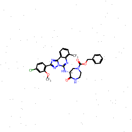 O=C1NCCN(C(=O)OCc2ccccc2)C[C@H]1Nc1nc2c(C(F)(F)F)cccc2c2nc(-c3ccc(Cl)cc3OC(F)(F)F)nn12